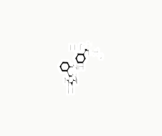 FC(P)(P)c1ccc(Nc2ccccc2-c2nn[nH]n2)cc1